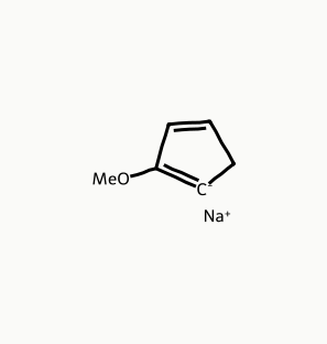 COC1=[C-]CC=C1.[Na+]